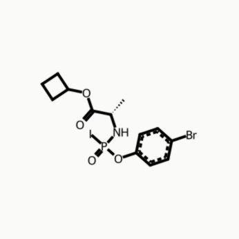 C[C@H](NP(=O)(I)Oc1ccc(Br)cc1)C(=O)OC1CCC1